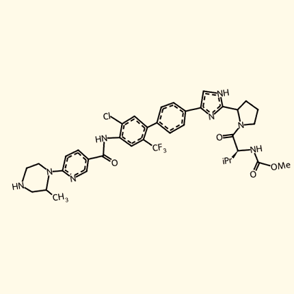 COC(=O)N[C@H](C(=O)N1CCCC1c1nc(-c2ccc(-c3cc(Cl)c(NC(=O)c4ccc(N5CCNCC5C)nc4)cc3C(F)(F)F)cc2)c[nH]1)C(C)C